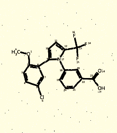 COc1ccc(Cl)cc1-c1ccc(C(F)(F)F)n1-c1cccc(C(=O)O)c1